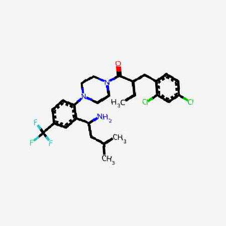 CCC(Cc1ccc(Cl)cc1Cl)C(=O)N1CCN(c2ccc(C(F)(F)F)cc2C(N)CC(C)C)CC1